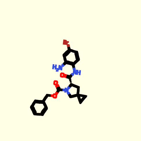 Nc1cc(Br)ccc1NC(=O)[C@@H]1CC2(CC2)CN1C(=O)OCc1ccccc1